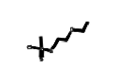 CCOCCSP(C)(=S)Cl